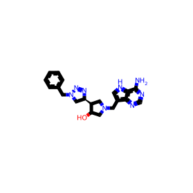 Nc1ncnc2c(CN3CC(O)C([C@H]4CN(Cc5ccccc5)N=N4)C3)c[nH]c12